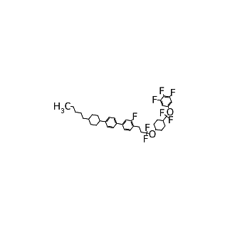 CCCCCC1CCC(c2ccc(-c3ccc(CCC(F)(F)OC4CCC(C(F)(F)Oc5cc(F)c(F)c(F)c5)CC4)c(F)c3)cc2)CC1